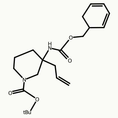 C=CCC1(NC(=O)OCC2C=CC=CC2)CCCN(C(=O)OC(C)(C)C)C1